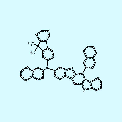 CC1(C)c2ccccc2-c2ccc(N(c3ccc4ccccc4c3)c3ccc4c(c3)oc3c(-c5ccc6ccccc6c5)c5c(cc34)oc3ccccc35)cc21